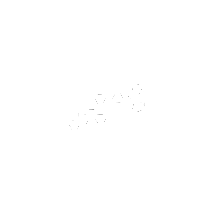 c1cc(-c2ccc(-n3c4cccnc4c4ncccc43)cc2)cc(-c2cc3nc4ccccc4cc3c3ccccc23)c1